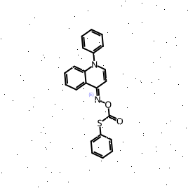 O=C(O/N=c1\ccn(-c2ccccc2)c2ccccc12)Sc1ccccc1